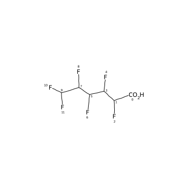 O=C(O)C(F)C(F)C(F)C(F)C(F)F